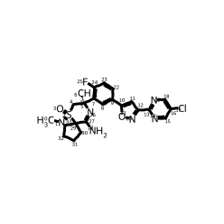 CN=S1(=O)C[C@@](C)(c2cc(-c3cc(-c4ncc(Cl)cn4)no3)ccc2F)N=C(N)C12CCCC2